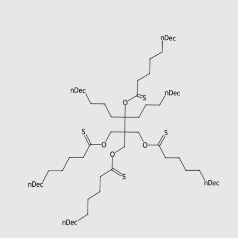 CCCCCCCCCCCCCCC(=S)OCC(COC(=S)CCCCCCCCCCCCCC)(COC(=S)CCCCCCCCCCCCCC)C(CCCCCCCCCCCCC)(CCCCCCCCCCCCC)OC(=S)CCCCCCCCCCCCCC